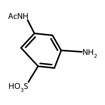 CC(=O)Nc1cc(N)cc(S(=O)(=O)O)c1